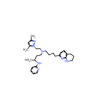 Cc1cc(C)n(CCN(CCCCc2ccc3c(n2)NCCC3)CCC(Nc2ccccn2)C(=O)O)n1